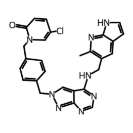 Cc1nc2[nH]ccc2cc1CNc1ncnc2nn(Cc3ccc(Cn4cc(Cl)ccc4=O)cc3)cc12